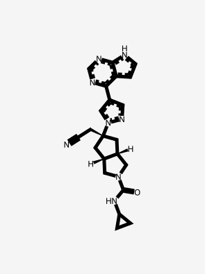 N#CC[C@]1(n2cc(-c3ncnc4[nH]ccc34)cn2)C[C@H]2CN(C(=O)NC3CC3)C[C@H]2C1